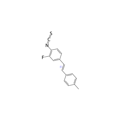 Cc1ccc(/C=C/c2ccc(N=C=S)c(F)c2)cc1